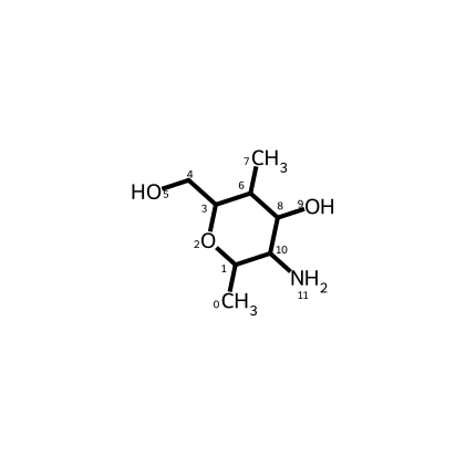 CC1OC(CO)C(C)C(O)C1N